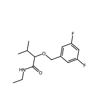 CCNC(=O)C(OCc1cc(F)cc(F)c1)C(C)C